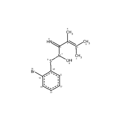 CC(C)=C(C)C(=N)N(O)Sc1ccccc1Br